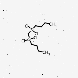 CCCC[Si](Cl)(Cl)C[Si](Cl)(Cl)CCCC